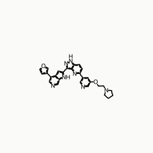 c1cc(-c2cncc3[nH]c(-c4n[nH]c5ccc(-c6cncc(OCCN7CCCC7)c6)nc45)cc23)co1